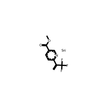 C=C(c1ccc(C(=O)OC)cn1)C(F)(F)F.[Sn]